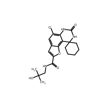 CC(C)(O)CNC(=O)c1cc2cc(Cl)c3c(c2o1)C1(CCCCC1)NC(=O)N3